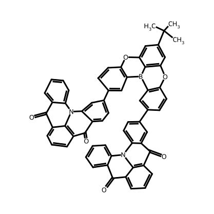 CC(C)(C)c1cc2c3c(c1)Oc1ccc(-c4ccc5c(=O)c6cccc7c(=O)c8ccccc8n(c5c4)c76)cc1B3c1cc(-c3ccc4c(c3)c(=O)c3cccc5c(=O)c6ccccc6n4c53)ccc1O2